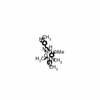 C=CC(=O)Nc1cc(Nc2cc(-c3ccc4c(cnn4C)c3)ncn2)c(OC)cc1N(C)C1CCCN(C)C1